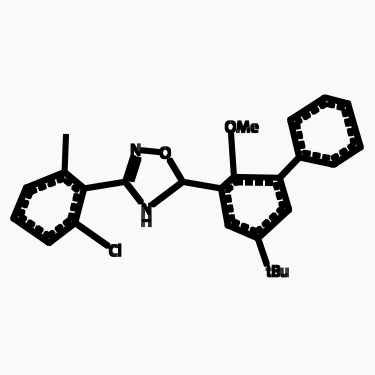 COc1c(-c2ccccc2)cc(C(C)(C)C)cc1C1NC(c2c(C)cccc2Cl)=NO1